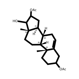 CC(=O)OC1CC[C@@]2(C)C(=CC[C@@H]3[C@H]2CC[C@]2(C)C(O)C(OC(C)=O)C[C@@H]32)C1